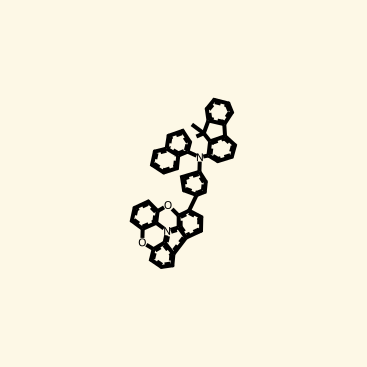 CC1(C)c2ccccc2-c2cccc(N(c3ccc(-c4ccc5c6cccc7c6n6c5c4Oc4cccc(c4-6)O7)cc3)c3cccc4ccccc34)c21